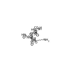 NCCCCCCCC(=O)N[C@@H](Cc1ccccc1)C(=O)NCC(=O)N[C@@H](CCc1c[nH]c2ccccc12)C(=O)N[C@@H](Cc1c[nH]c2ccccc12)C(=O)NCC(=O)N[C@@H](CCS)C(=O)O